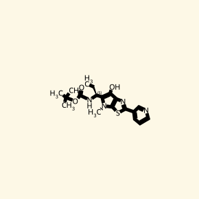 CC[C@H](NC(=O)OC(C)(C)C)c1c(O)c2nc(-c3cccnc3)sc2n1C